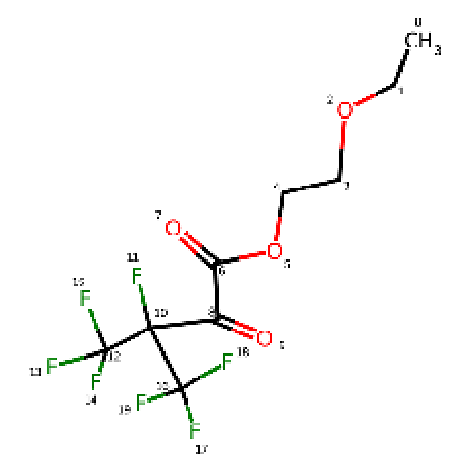 CCOCCOC(=O)C(=O)C(F)(C(F)(F)F)C(F)(F)F